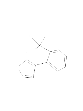 CC(F)(C=O)c1ccccc1-c1ccsc1